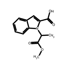 COC(=O)C(C)n1c(C(=O)O)cc2ccccc21